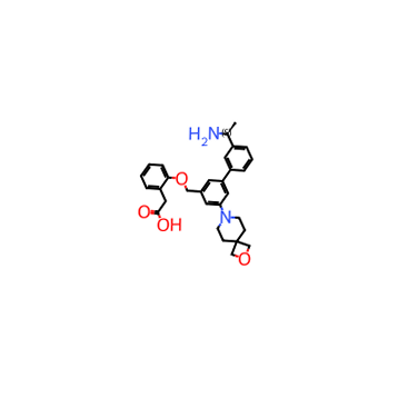 C[C@H](N)c1cccc(-c2cc(COc3ccccc3CC(=O)O)cc(N3CCC4(CC3)COC4)c2)c1